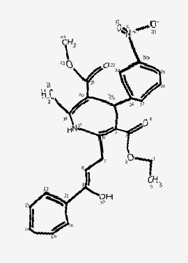 CCOC(=O)C1=C(CC=C(O)c2ccccc2)NC(C)=C(C(=O)OC)C1c1cccc([N+](=O)[O-])c1